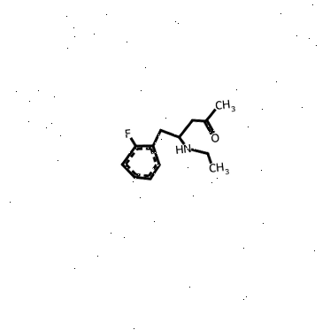 CCNC(CC(C)=O)Cc1ccccc1F